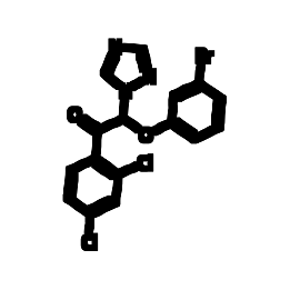 O=C(c1ccc(Cl)cc1Cl)C(Oc1cccc(Br)c1)n1cncn1